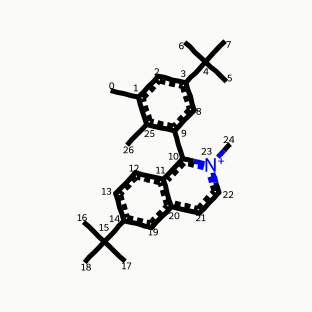 Cc1cc(C(C)(C)C)cc(-c2c3ccc(C(C)(C)C)cc3cc[n+]2C)c1C